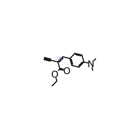 C#C/C(=C/c1ccc(N(C)C)cc1)C(=O)OCC